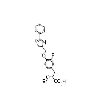 CCOC(Cc1ccc(OCc2csc(-c3ccccc3)n2)c(F)c1)C(=O)O